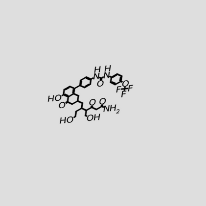 NC(=O)CC(=O)C(CO)C(CCO)CC1CC(=O)c2c(O)ccc(-c3ccc(NC(=O)Nc4ccc(OC(F)(F)F)cc4)cc3)c2C1